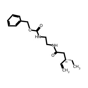 C=C[C@@H](CC)CC(=O)NCCNC(=O)OCc1ccccc1